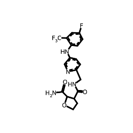 NC(=O)C1OCCC1C(=O)NCc1ccc(Nc2ccc(F)cc2C(F)(F)F)cn1